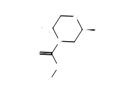 CC[C@H]1CN(C(=O)OC(C)(C)C)[C@H](CC)CN1